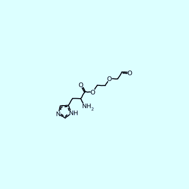 NC(Cc1cnc[nH]1)C(=O)OCCOCC=O